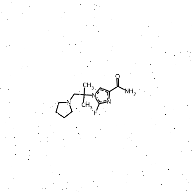 CC(C)(CN1CCCC1)n1cc(C(N)=O)nc1F